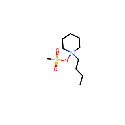 CCCC[N+]1(OS(C)(=O)=O)CCCCC1